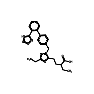 CCc1nc(CCC(CC)C(=O)O)n(Cc2ccc(-c3ccccc3-c3nnn[nH]3)cc2)n1